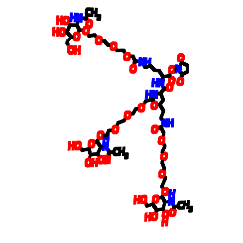 CC(=O)N[C@H]1[C@H](OCCOCCOCCOCC(=O)NCCCCC(NC(=O)C(CCCCNC(=O)COCCOCCOCCO[C@@H]2O[C@H](CO)[C@H](O)C(O)[C@H]2NC(C)=O)NC(=O)COCCOCCOCCO[C@@H]2O[C@H](CO)[C@H](O)C(O)[C@H]2NC(C)=O)C(=O)ON2C(=O)CCC2=O)O[C@H](CO)[C@H](O)[C@@H]1O